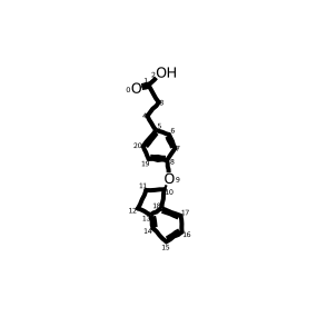 O=C(O)CCc1ccc(O[C@H]2CCc3ccccc32)cc1